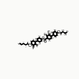 C=CCCCOc1ccc(-c2ccc(OC(=O)c3ccc(-c4ccc(OCCCC)cc4)c(F)c3F)cc2)c(F)c1F